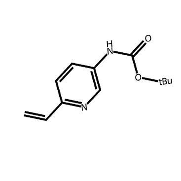 C=Cc1ccc(NC(=O)OC(C)(C)C)cn1